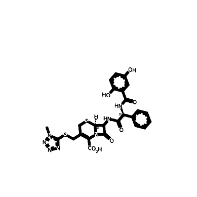 Cn1nnnc1SCC1=C(C(=O)O)N2C(=O)C(NC(=O)[C@@H](NC(=O)c3cc(O)ccc3O)c3ccccc3)[C@@H]2SC1